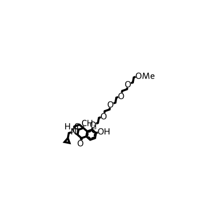 COCCOCCOCCOCCOCCOc1c(O)ccc2c1[C@]1(C)CCN(CC3CC3)C(C2=O)[C@@H]1C